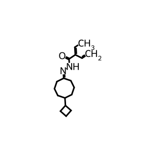 C=C/C(=C\C)C(=O)NN=C1CCCC(C2CCC2)CCC1